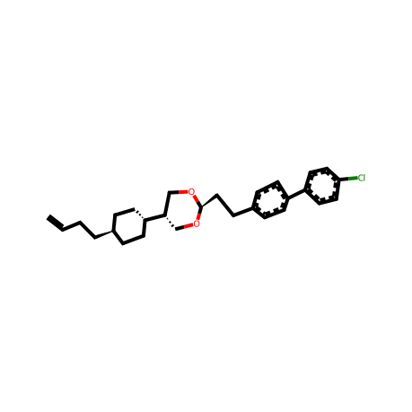 C=CCC[C@H]1CC[C@H]([C@H]2CO[C@H](CCc3ccc(-c4ccc(Cl)cc4)cc3)OC2)CC1